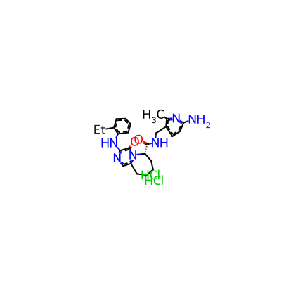 CCc1ccccc1Nc1ncc2n(c1=O)[C@H](C(=O)NCc1ccc(N)nc1C)CCCC2.Cl.Cl